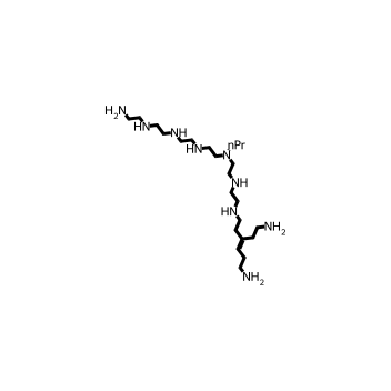 CCCN(CCNCCNCCNCCN)CCNCCNCC/C(=C/CCN)CCN